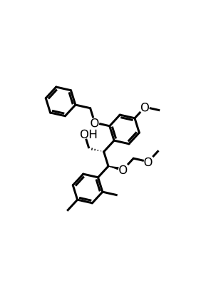 COCO[C@@H](c1ccc(C)cc1C)[C@H](CO)c1ccc(OC)cc1OCc1ccccc1